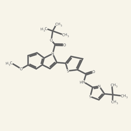 COc1ccc2c(c1)cc(-c1ccc(C(=O)Nc3nc(C(C)(C)C)cs3)s1)n2C(=O)OC(C)(C)C